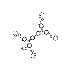 Cc1cc(N(c2ccc(COC3CCCCO3)cc2)c2ccc(-c3ccc(N(c4ccc(COC5CCCCO5)cc4)c4ccc(COC5CCCCO5)c(C)c4)cc3)cc2)ccc1COC1CCCCO1